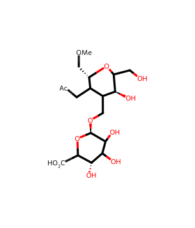 COC[C@@H]1OC(CO)[C@@H](O)C(CO[C@@H]2OC(C(=O)O)[C@@H](O)C(O)C2O)C1CC(C)=O